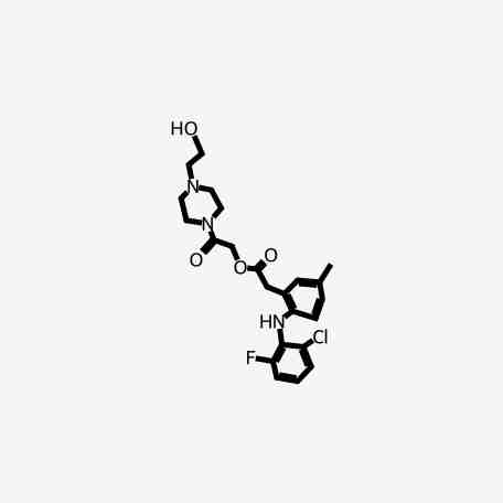 Cc1ccc(Nc2c(F)cccc2Cl)c(CC(=O)OCC(=O)N2CCN(CCO)CC2)c1